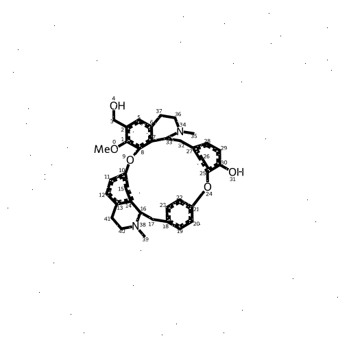 COc1c(CO)cc2c3c1Oc1ccc4c(c1)C(Cc1ccc(cc1)Oc1cc(ccc1O)CC3N(C)CC2)N(C)CC4